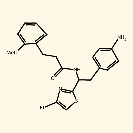 CCc1csc(C(Cc2ccc(N)cc2)NC(=O)CCc2ccccc2OC)n1